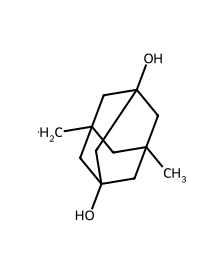 [CH2]C12CC3(C)CC(O)(C1)CC(O)(C2)C3